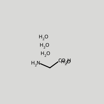 NCC(=O)O.O.O.O.O